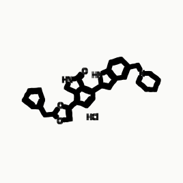 Cl.O=C1NCc2c(C3=COC(Cc4ccccc4)O3)ccc(-c3cc4cc(CN5CCCCC5)ccc4[nH]3)c21